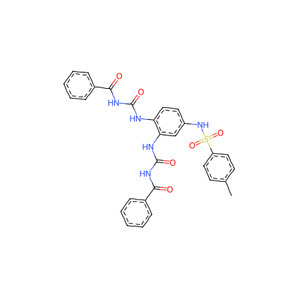 Cc1ccc(S(=O)(=O)Nc2ccc(NC(=O)NC(=O)c3ccccc3)c(NC(=O)NC(=O)c3ccccc3)c2)cc1